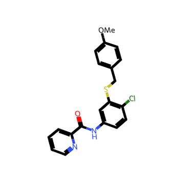 COc1ccc(CSc2cc(NC(=O)c3ccccn3)ccc2Cl)cc1